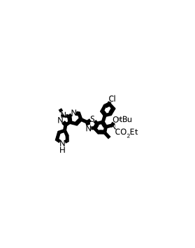 CCOC(=O)[C@@H](OC(C)(C)C)c1c(C)cc2nc(-c3cnc4c(c3)c(C3CCNCC3)nn4C)sc2c1-c1ccc(Cl)cc1